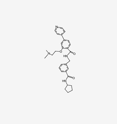 CN(C)CCOc1cc(-c2ccncc2)ccc1C(=O)NCc1cccc(C(=O)NC2CCCC2)c1